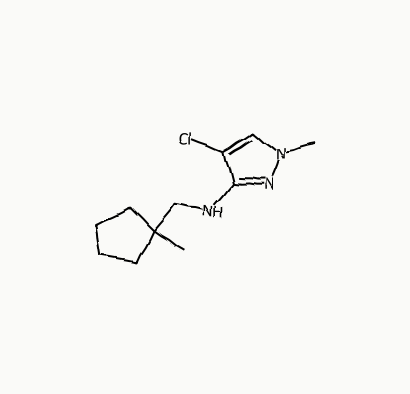 Cn1cc(Cl)c(NCC2(C)CCCC2)n1